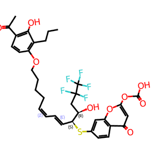 CCCc1c(OCCCC/C=C\C=C\[C@H](Sc2ccc3c(=O)cc(OC(=O)O)oc3c2)[C@H](O)CC(F)(F)C(F)(F)F)ccc(C(C)=O)c1O